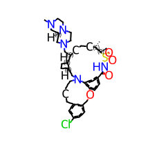 C[C@@H]1[C@@H](C)CCC[C@H](CN2CCN3CCN(C)C[C@@H]3C2)[C@@H]2CC[C@H]2CN2CCCCc3cc(Cl)ccc3COc3ccc(cc32)C(=O)NS1(=O)=O